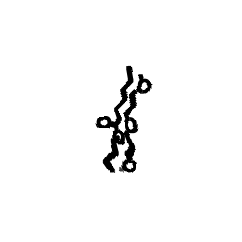 CCCCCCC(=O)OCCCC.COCCCOCCCOC